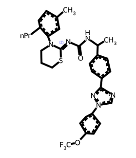 CCCc1ccc(C)cc1N1CCCS/C1=N\C(=O)NC(C)c1ccc(-c2ncn(-c3ccc(OC(F)(F)F)cc3)n2)cc1